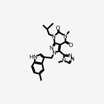 Cc1ccc2[nH]cc(Cn3nc4c(c3-c3nncn3C)c(=O)n(C)c(=O)n4CC(C)C)c2c1